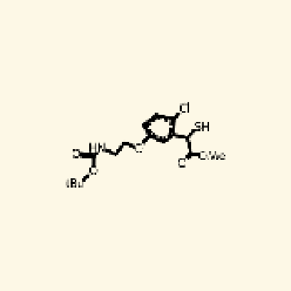 COC(=O)C(S)c1cc(OCCNC(=O)OC(C)(C)C)ccc1Cl